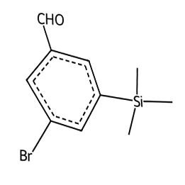 C[Si](C)(C)c1cc(Br)cc(C=O)c1